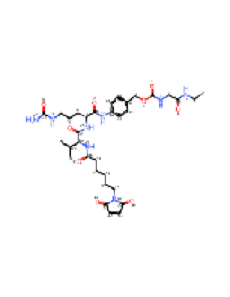 CCNC(=O)CNC(=O)OCc1ccc(NC(=O)[C@H](CCCNC(N)=O)NC(=O)[C@@H](NC(=O)CCCCCN2C(=O)C=CC2=O)C(C)C)cc1